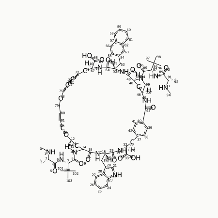 CN[C@@H](C)C(=O)N[C@H](C(=O)N1C[C@@H]2CC1C(=O)N[C@@H](Cc1c[nH]c3ccccc13)C(=O)N[C@H](C(=O)O)Cc1ccc(cc1)C(=O)N[C@H]1C[C@@H](C(=O)N[C@@H](Cc3ccc4ccccc4c3)C(=O)N[C@H](C(=O)O)Cc3ccc(cc3)OC/C=C/CO2)N(C(=O)[C@@H](NC(=O)[C@H](C)NC)C(C)(C)C)C1)C(C)(C)C